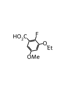 CCOc1cc(OC)cc(C(=O)O)c1F